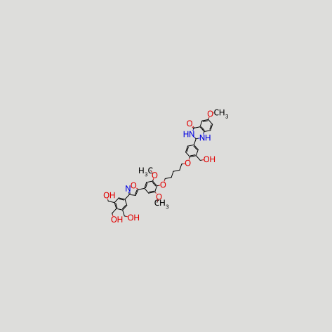 COc1ccc2c(c1)C(=O)NC(c1ccc(OCCCCCOc3c(OC)cc(-c4cc(-c5cc(CO)c(CO)c(CO)c5)no4)cc3OC)c(CO)c1)N2